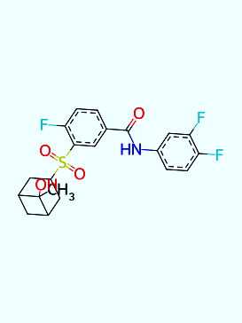 CC1(O)C2CC1CC(S(=O)(=O)c1cc(C(=O)Nc3ccc(F)c(F)c3)ccc1F)C2